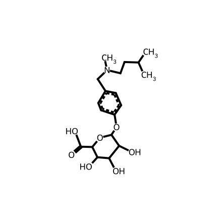 CC(C)CCN(C)Cc1ccc(OC2OC(C(=O)O)C(O)C(O)C2O)cc1